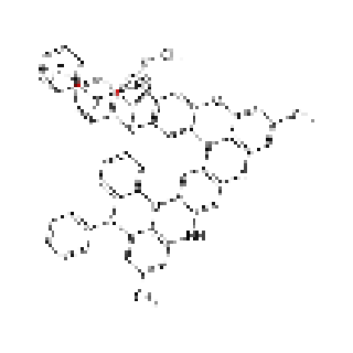 CSN1c2cc3c(cc2B2c4ccccc4N(c4ccccc4)c4cc(C)cc1c42)B1c2cc4c(cc2Oc2cc(C)cc(c21)O3)Nc1cc(C)cc2c1B4c1ccccc1N2c1ccccc1